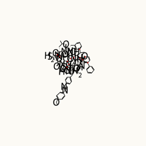 COc1ccc(N=Nc2ccc(COC(=O)[C@H]([C@@H](C)OCc3ccccc3)N(C(=O)OC(C)(C)C)C(=O)[C@H](CC(N)=O)NC(=O)[C@H](CCSC)NC(=O)[C@H](CC(C)C)NC(=O)[C@H](Cc3ccccc3)NC(=O)[C@H](CCC(N)=O)NC(=O)[C@@H](NC(=O)[C@@H](N)Cc3ccccc3)C(C)C)cc2)cc1